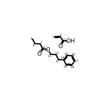 C=CC(=O)O.CCCC(=O)OCCCc1ccccc1